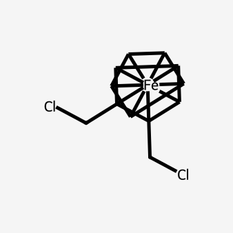 ClC[C]12[CH]3[CH]4[CH]5[C]1(CCl)[Fe]43521678[CH]2[CH]1[CH]6[CH]7[CH]28